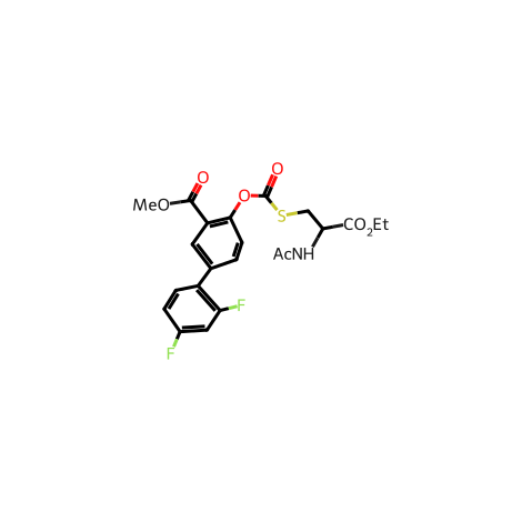 CCOC(=O)C(CSC(=O)Oc1ccc(-c2ccc(F)cc2F)cc1C(=O)OC)NC(C)=O